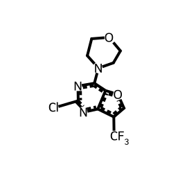 FC(F)(F)c1coc2c(N3CCOCC3)nc(Cl)nc12